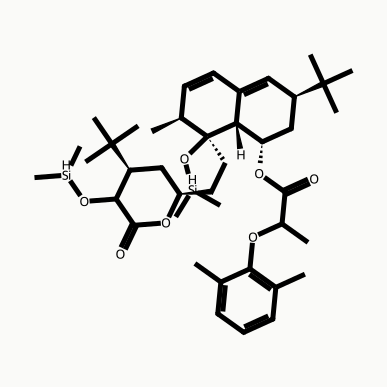 Cc1cccc(C)c1OC(C)C(=O)O[C@H]1C[C@H](C(C)(C)C)C=C2C=C[C@H](C)[C@](CC[C@@H]3C[C@H](C(C)(C)C)C(O[SiH](C)C)C(=O)O3)(O[SiH](C)C)[C@H]21